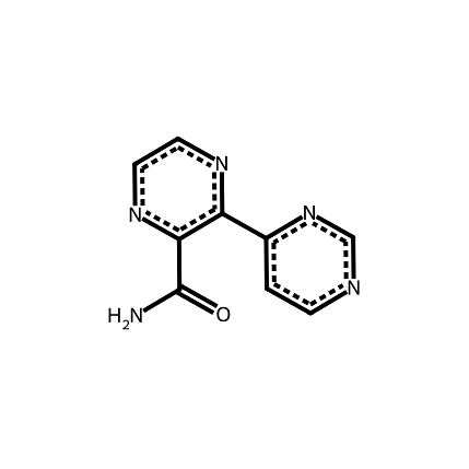 NC(=O)c1nccnc1-c1ccncn1